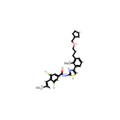 COc1c(CCCOCC2CCCC2)cccc1-c1csc(NC(=O)c2cc(F)c(/C=C(\C)C(=O)O)c(F)c2)n1